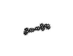 c1cnc2c(c1)ccc1ccc(-c3c4ccccc4c(-c4ccc5cc(-c6ccc7nc(-c8cc9cccnc9c9ncccc89)ccc7c6)ccc5n4)c4ccccc34)nc12